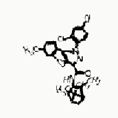 Cc1ccc2c(c1)oc1c(C(=O)NC3CC4CC(C3C)C4(C)C)nn(-c3ccc(Cl)cc3Cl)c12